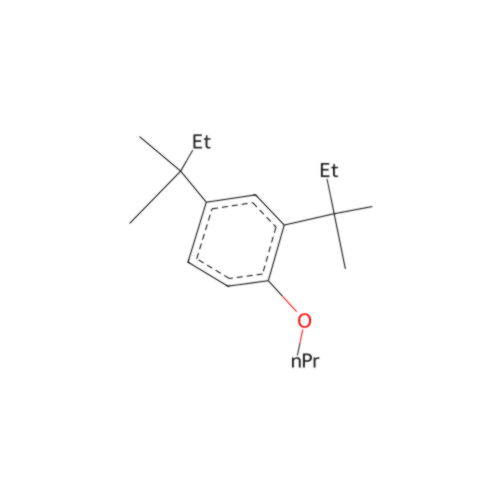 CCCOc1ccc(C(C)(C)CC)cc1C(C)(C)CC